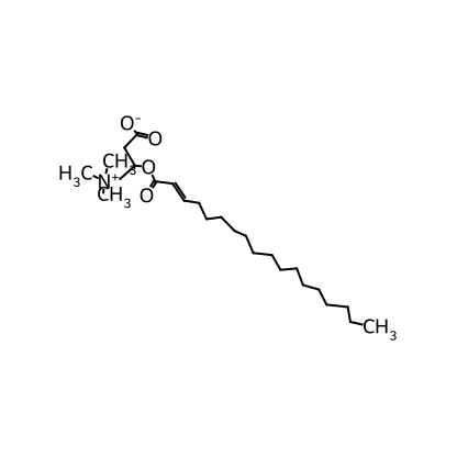 CCCCCCCCCCCCCCCC=CC(=O)OC(CC(=O)[O-])C[N+](C)(C)C